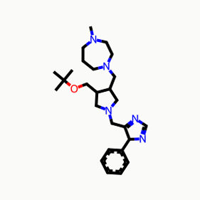 CN1CCCN(CC2CN(CC3=NC=NC3c3ccccc3)CC2COC(C)(C)C)CC1